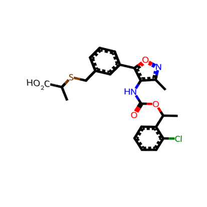 Cc1noc(-c2cccc(CSC(C)C(=O)O)c2)c1NC(=O)OC(C)c1ccccc1Cl